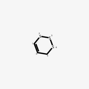 C1=CSSSC1